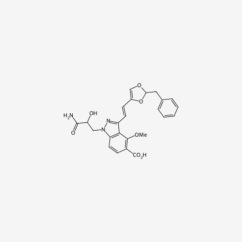 COc1c(C(=O)O)ccc2c1c(C=CC1=COC(Cc3ccccc3)O1)nn2CC(O)C(N)=O